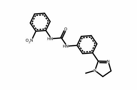 CN1CCN=C1c1cccc(NC(=O)Nc2ccccc2[N+](=O)[O-])c1